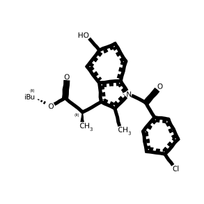 CC[C@@H](C)OC(=O)[C@H](C)c1c(C)n(C(=O)c2ccc(Cl)cc2)c2ccc(O)cc12